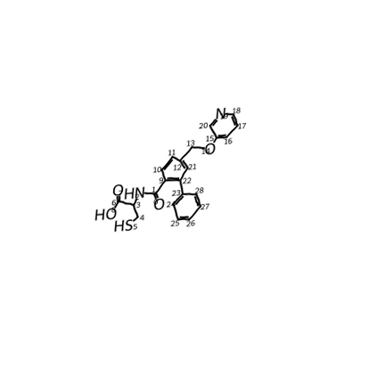 O=C(NC(CS)C(=O)O)c1ccc(COc2cccnc2)cc1-c1ccccc1